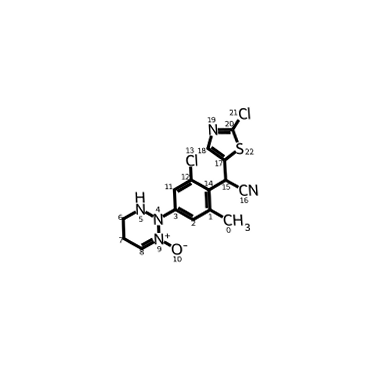 Cc1cc(N2NCCC=[N+]2[O-])cc(Cl)c1C(C#N)c1cnc(Cl)s1